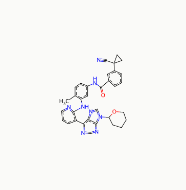 Cc1ccc(NC(=O)c2cccc(C3(C#N)CC3)c2)cc1Nc1ncccc1-c1ncnc2c1ncn2C1CCCCO1